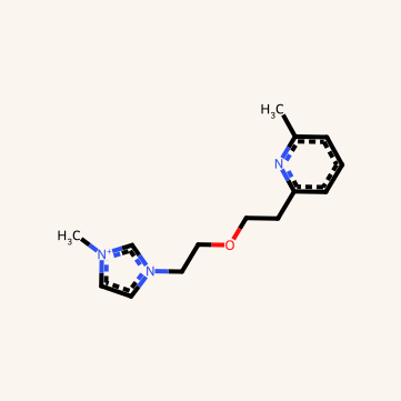 Cc1cccc(CCOCCn2cc[n+](C)c2)n1